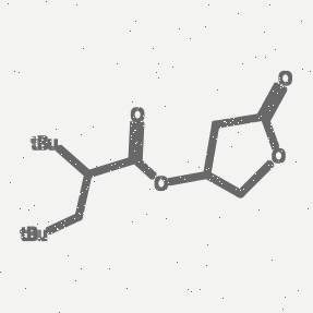 CC(C)(C)CC(C(=O)OC1COC(=O)C1)C(C)(C)C